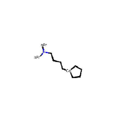 CCCN(CCC)CCC[CH2][Ga]1[CH2]CC[CH2]1